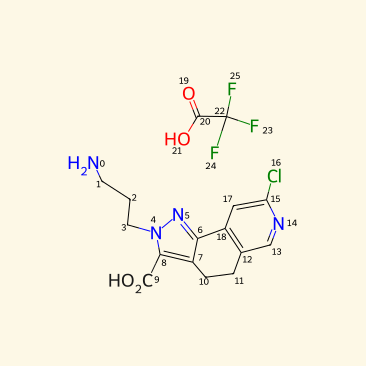 NCCCn1nc2c(c1C(=O)O)CCc1cnc(Cl)cc1-2.O=C(O)C(F)(F)F